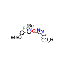 COc1ccc(F)c(-c2ccc(OCc3cc(C(CC(=O)O)C4CC4)ncn3)nc2CC(C)(C)C)c1